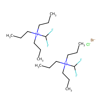 CCC[N+](CCC)(CCC)C(F)F.CCC[N+](CCC)(CCC)C(F)F.[Br-].[Cl-]